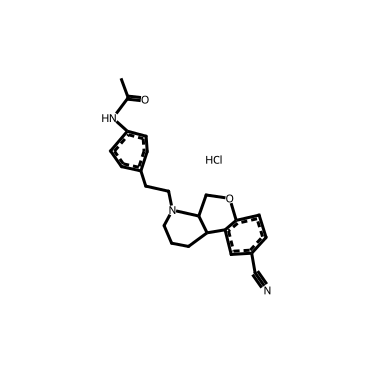 CC(=O)Nc1ccc(CCN2CCCC3c4cc(C#N)ccc4OCC32)cc1.Cl